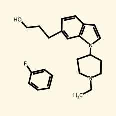 CCN1CCC(n2ccc3ccc(CCCO)cc32)CC1.Fc1ccccc1